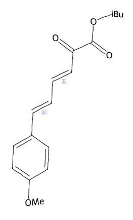 CCC(C)OC(=O)C(=O)/C=C/C=C/c1ccc(OC)cc1